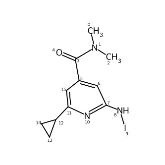 CN(C)C(=O)c1cc(NI)nc(C2CC2)c1